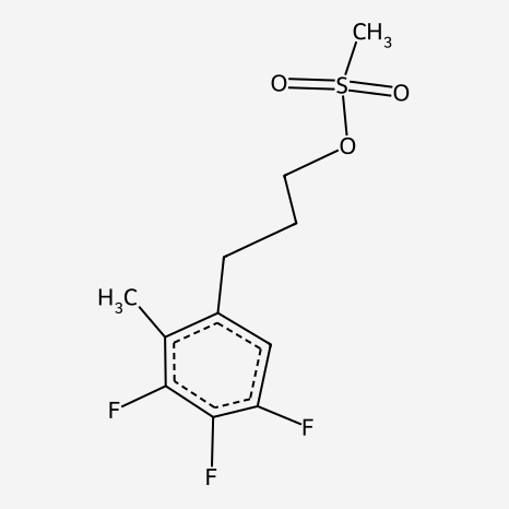 Cc1c(CCCOS(C)(=O)=O)cc(F)c(F)c1F